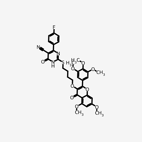 COc1cc(OC)c2c(=O)c(OCCCCSc3nc(-c4ccc(F)cc4)c(C#N)c(=O)[nH]3)c(-c3cc(OC)c(OC)c(OC)c3)oc2c1